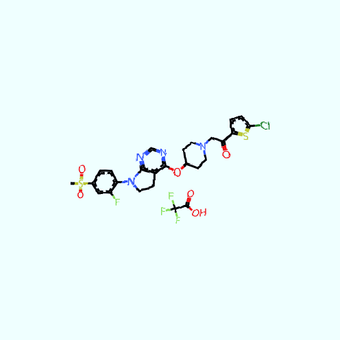 CS(=O)(=O)c1ccc(N2CCc3c(OC4CCN(CC(=O)c5ccc(Cl)s5)CC4)ncnc32)c(F)c1.O=C(O)C(F)(F)F